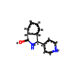 O=C1NC(c2ccncc2)c2ccccc21